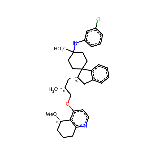 CO[C@H]1CCCc2nccc(OC[C@H](C)C[C@H]3Cc4ccccc4C34CCC(Nc3cccc(Cl)c3)(C(=O)O)CC4)c21